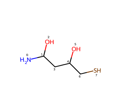 NC(O)CC(O)CS